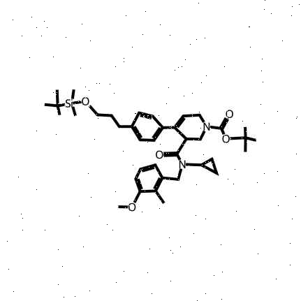 COc1cccc(CN(C(=O)C2CN(C(=O)OC(C)(C)C)CC=C2c2ccc(CCCO[Si](C)(C)C(C)(C)C)cc2)C2CC2)c1C